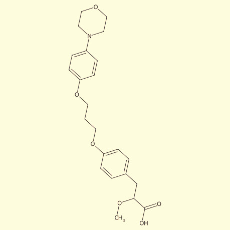 COC(Cc1ccc(OCCCOc2ccc(N3CCOCC3)cc2)cc1)C(=O)O